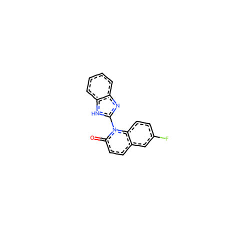 O=c1ccc2cc(F)ccc2n1-c1nc2ccccc2[nH]1